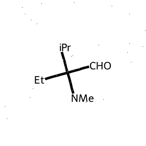 CCC(C=O)(NC)C(C)C